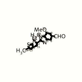 CCn1c(-c2nc3cc(C=O)cc(OC)c3n2C)cc2cc(C)sc21